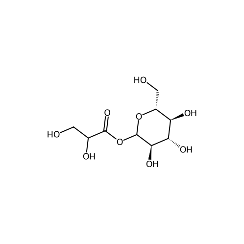 O=C(OC1O[C@H](CO)[C@@H](O)[C@H](O)[C@H]1O)C(O)CO